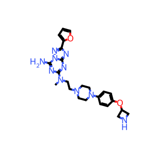 CN(CCN1CCN(c2ccc(OC3CNC3)cc2)CC1)c1nc(N)n2nc(-c3ccco3)nc2n1